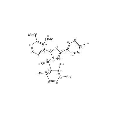 COc1cccc(C2SC(c3ccc(F)cc3)=NN2C(=O)c2c(F)ccc(F)c2F)c1OC